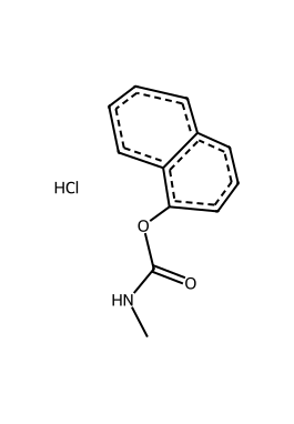 CNC(=O)Oc1cccc2ccccc12.Cl